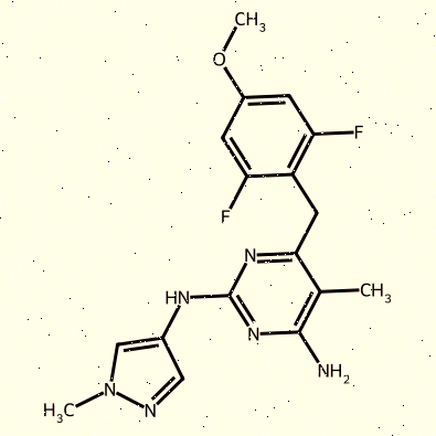 COc1cc(F)c(Cc2nc(Nc3cnn(C)c3)nc(N)c2C)c(F)c1